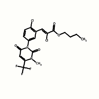 CCCCOC(=O)C(Cl)=Cc1cc(-n2c(=O)cc(C(F)(F)F)n(C)c2=O)ccc1Cl